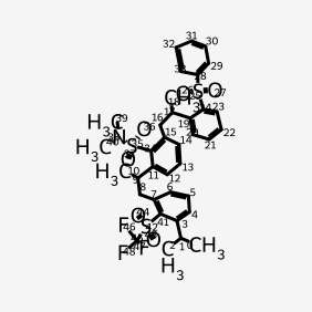 CC(C)c1cccc(CC(C)c2cccc(CC(C)c3ccccc3S(=O)(=O)c3ccccc3)c2S(=O)(=O)N(C)C)c1S(=O)(=O)C(F)(F)F